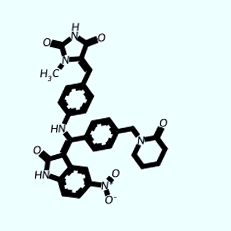 CN1C(=O)NC(=O)/C1=C/c1ccc(N/C(=C2\C(=O)Nc3ccc([N+](=O)[O-])cc32)c2ccc(CN3CCCCC3=O)cc2)cc1